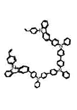 C=Cc1ccc(-n2c3ccccc3c3cc(-c4ccc(N(c5ccccc5)c5ccc(-c6ccc(N(c7ccccc7)c7ccc(-c8ccc(N(c9ccccc9)c9ccc(-c%10ccc%11c(c%10)c%10ccccc%10n%11-c%10ccc(C=C)cc%10)cc9)cc8)cc7)cc6)cc5)cc4)ccc32)cc1